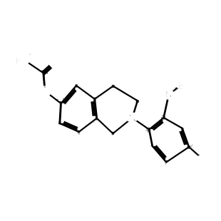 CCNc1cc(F)ccc1N1CCc2cc(OC(=O)C(C)(C)C)ccc2C1